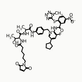 CC(C)[C@H](NC(=O)CCCCCN1C(=O)C=CC1=O)C(=O)N[C@@H](C)C(=O)Nc1ccc(C[n+]2cc(C3CCCC3)cc(F)c2NC(=O)c2cc([N+](=O)[O-])ccc2Sc2nnnn2C)cc1